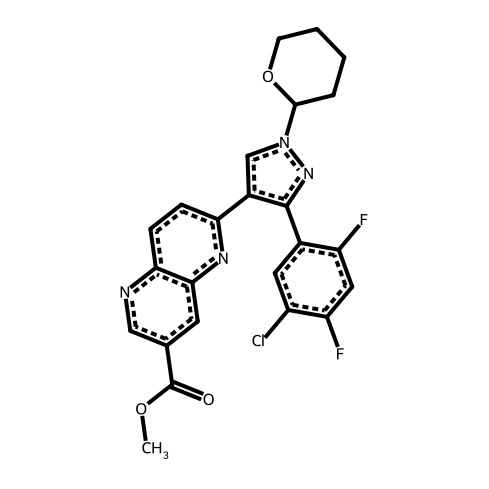 COC(=O)c1cnc2ccc(-c3cn(C4CCCCO4)nc3-c3cc(Cl)c(F)cc3F)nc2c1